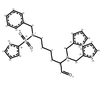 O=C[C](CCCCN(Cc1ccccc1)S(=O)(=O)c1cccs1)N(Cc1cccs1)Cc1cccs1